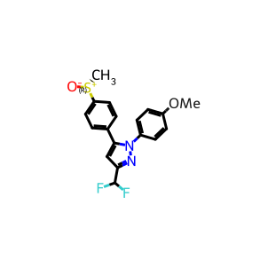 COc1ccc(-n2nc(C(F)F)cc2-c2ccc([S@+](C)[O-])cc2)cc1